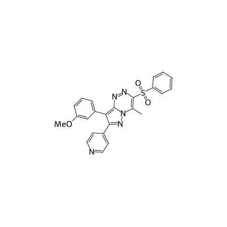 COc1cccc(-c2c(-c3ccncc3)nn3c(C)c(S(=O)(=O)c4ccccc4)nnc23)c1